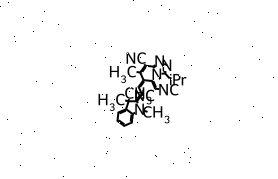 [C-]#[N+]/C(C#N)=c1/c(=C\C=C2\N(C)c3ccccc3C2(C)C)c(C)c(C#N)c2nnc(C(C)C)n12